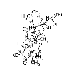 CC1(C)CC[C@]2(c3nc(C(C)(C)C)no3)CC[C@]3(C)[C@H](C(=O)C=C4[C@@]5(C)C=C(C#N)C(=O)C(C)(C)[C@@H]5CC[C@]43C)[C@@H]2C1